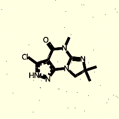 CN1C(=O)c2c(n[nH]c2Cl)N2CC(C)(C)N=C12